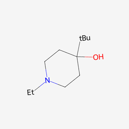 CCN1CCC(O)(C(C)(C)C)CC1